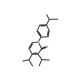 CC(C)c1ccc(-n2ccc(C(C)C)c(C(C)C)c2=O)cc1